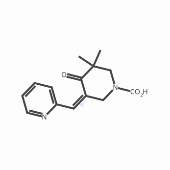 CC1(C)CN(C(=O)O)C/C(=C/c2ccccn2)C1=O